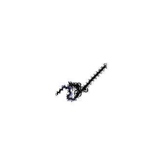 CCCCC/C=C\C/C=C\C/C=C\C/C=C\C/C=C\CCC(=O)O[C@H](COC(=O)CCCCCCCCCCCCCCCCC)COP(=O)(O)OCC[N+](C)(C)C